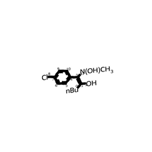 CCCC/C(O)=C(\c1ccc(Cl)cc1)N(C)O